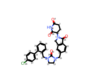 O=C1CCC(N2Cc3cc(CN4CCN(Cc5ccccc5-c5ccc(Cl)cc5)C4=O)ccc3C2=O)C(=O)N1